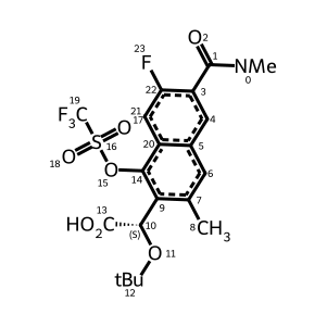 CNC(=O)c1cc2cc(C)c([C@H](OC(C)(C)C)C(=O)O)c(OS(=O)(=O)C(F)(F)F)c2cc1F